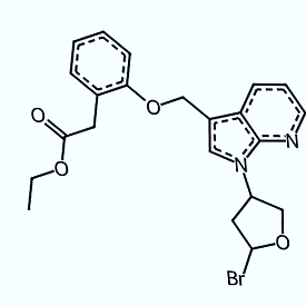 CCOC(=O)Cc1ccccc1OCc1cn(C2COC(Br)C2)c2ncccc12